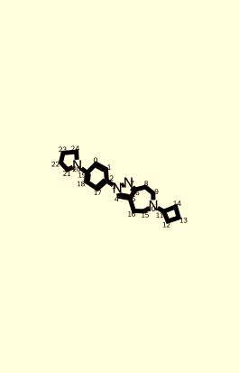 c1cc(-n2cc3c(n2)CCN(C2CCC2)CC3)ccc1N1CCCC1